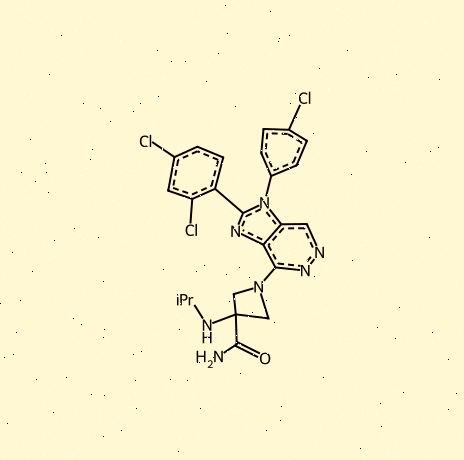 CC(C)NC1(C(N)=O)CN(c2nncc3c2nc(-c2ccc(Cl)cc2Cl)n3-c2ccc(Cl)cc2)C1